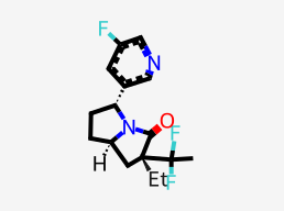 CC[C@@]1(C(C)(F)F)C[C@H]2CC[C@H](c3cncc(F)c3)N2C1=O